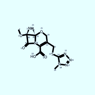 CO[C@@]1(N)C(=O)N2C(C(=O)O)=C(CSc3nnnn3C)CO[C@@H]21